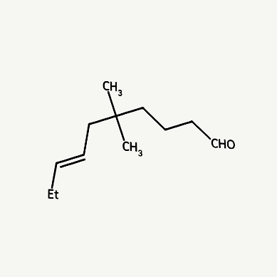 CC/C=C/CC(C)(C)CCCC=O